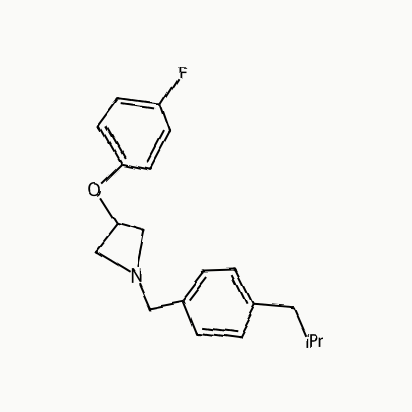 CC(C)Cc1ccc(CN2CC(Oc3ccc(F)cc3)C2)cc1